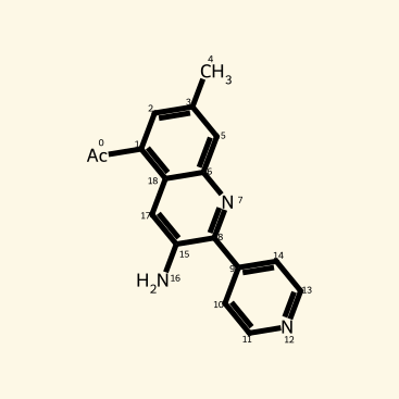 CC(=O)c1cc(C)cc2nc(-c3ccncc3)c(N)cc12